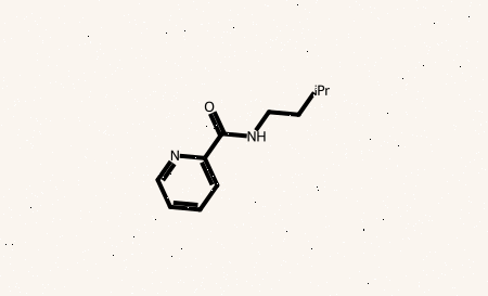 CC(C)CCNC(=O)c1ccccn1